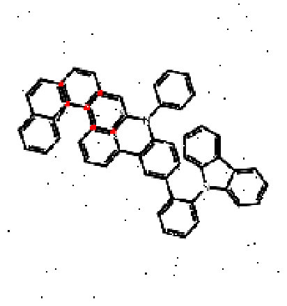 Cc1ccccc1-c1cccc(-c2cc(-c3ccccc3-n3c4ccccc4c4ccccc43)ccc2N(c2ccccc2)c2ccc(-c3cccc4ccccc34)cc2)c1S